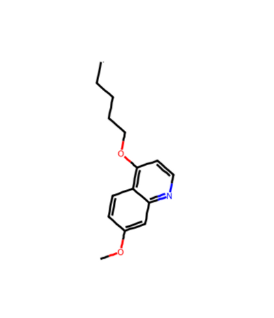 [CH2]CCCCOc1ccnc2cc(OC)ccc12